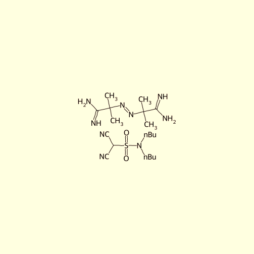 CC(C)(N=NC(C)(C)C(=N)N)C(=N)N.CCCCN(CCCC)S(=O)(=O)C(C#N)C#N